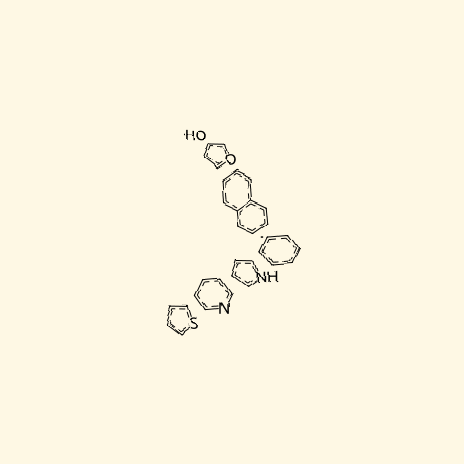 [OH].[c]1ccccc1.c1cc[nH]c1.c1ccc2ccccc2c1.c1ccncc1.c1ccoc1.c1ccsc1